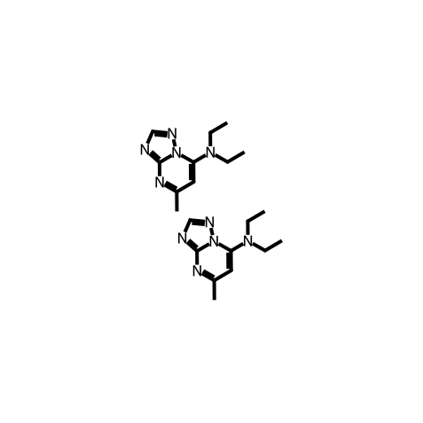 CCN(CC)c1cc(C)nc2ncnn12.CCN(CC)c1cc(C)nc2ncnn12